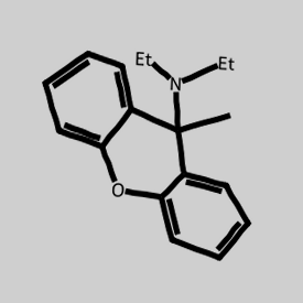 CCN(CC)C1(C)c2ccccc2Oc2ccccc21